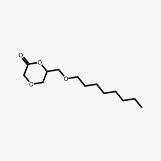 CCCCCCCCOCC1COCC(=O)O1